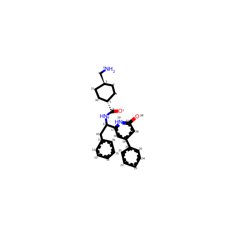 NC[C@H]1CC[C@H](C(=O)NC(Cc2ccccc2)c2cc(-c3ccccc3)cc(=O)[nH]2)CC1